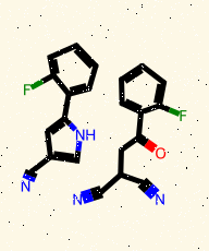 N#CC(C#N)CC(=O)c1ccccc1F.N#Cc1c[nH]c(-c2ccccc2F)c1